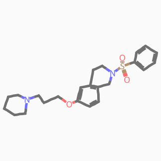 O=S(=O)(c1ccccc1)N1CCc2cc(OCCCN3CCCCC3)ccc2C1